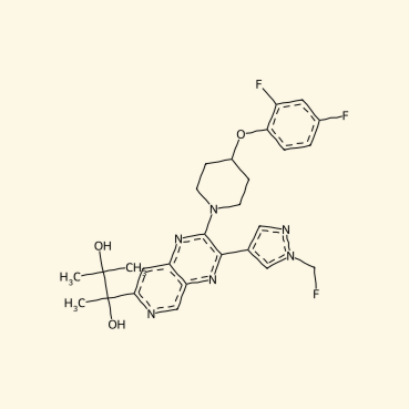 CC(C)(O)C(C)(O)c1cc2nc(N3CCC(Oc4ccc(F)cc4F)CC3)c(-c3cnn(CF)c3)nc2cn1